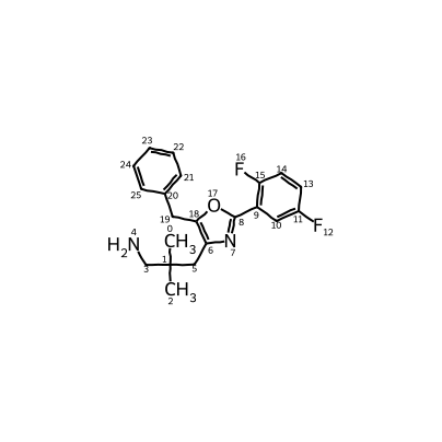 CC(C)(CN)Cc1nc(-c2cc(F)ccc2F)oc1Cc1ccccc1